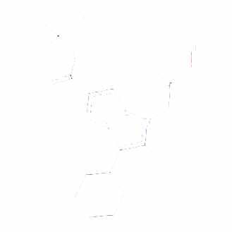 COC(=O)Cn1c(Br)c(C2CCCCC2)c2sc(C(=O)OC(C)(C)C)cc21